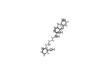 O=c1[nH]c(NCCCSCc2ncccc2O)ncc1Cc1cccnc1